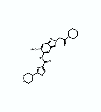 COc1cc2nn(CC(=O)N3CCOCC3)cc2cc1NC(=O)c1coc(C2CCOCC2)n1